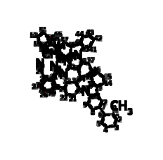 Cc1ccccc1-c1ccc2c(c1)c1ccccc1n2-c1ccc(-c2cccc(C#N)c2)cc1-c1cccc(-n2c3ccccc3c3cc(-c4ccccc4C)ccc32)c1-c1nc(-c2ccccc2)nc(-c2ccccc2)n1